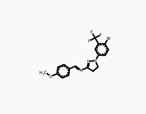 COc1ccc(/C=N/C2=NN(c3ccc(Br)c(C(F)(F)F)c3)CC2)cc1